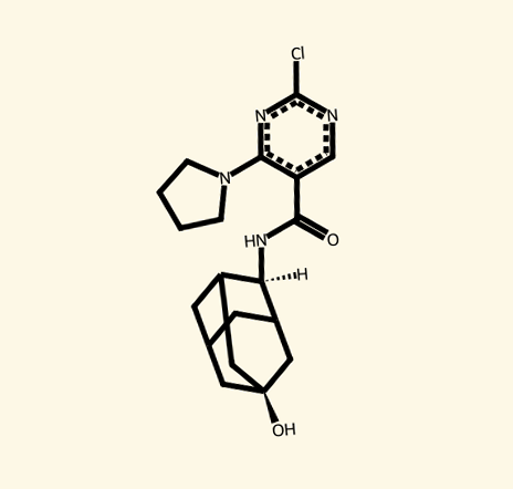 O=C(N[C@H]1C2CC3CC1C[C@@](O)(C3)C2)c1cnc(Cl)nc1N1CCCC1